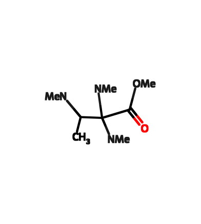 CNC(C)C(NC)(NC)C(=O)OC